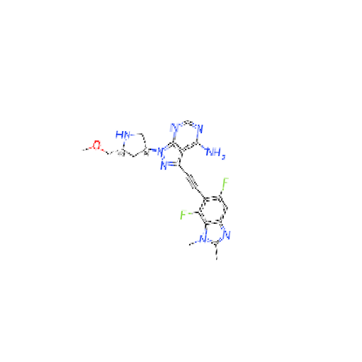 COC[C@H]1C[C@H](n2nc(C#Cc3c(F)cc4nc(C)n(C)c4c3F)c3c(N)ncnc32)CN1